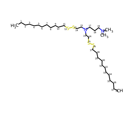 CCCCCCCCCCCCSSCCN(CCCN(C)C)CCSSCCCCCCCCCCCC